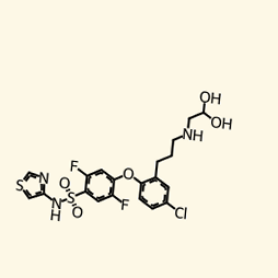 O=S(=O)(Nc1cscn1)c1cc(F)c(Oc2ccc(Cl)cc2CCCNCC(O)O)cc1F